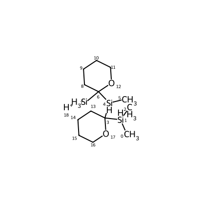 C[SiH](C)C1([SiH](C)C2([SiH3])CCCCO2)CCCCO1.[H+]